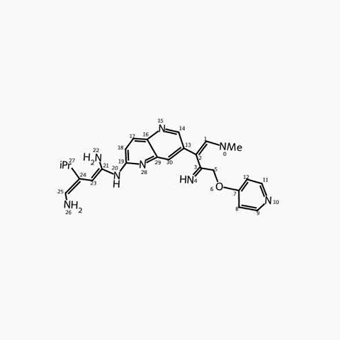 CN/C=C(\C(=N)COc1ccncc1)c1cnc2ccc(N/C(N)=C/C(=C\N)C(C)C)nc2c1